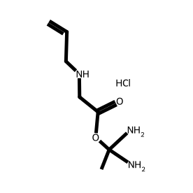 C=CCNCC(=O)OC(C)(N)N.Cl